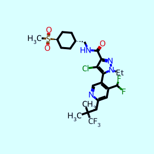 CCn1nc(C(=O)NC[C@H]2CC[C@H](S(C)(=O)=O)CC2)c(Cl)c1-c1cnc(CC(C)(C)C(F)(F)F)cc1C(F)F